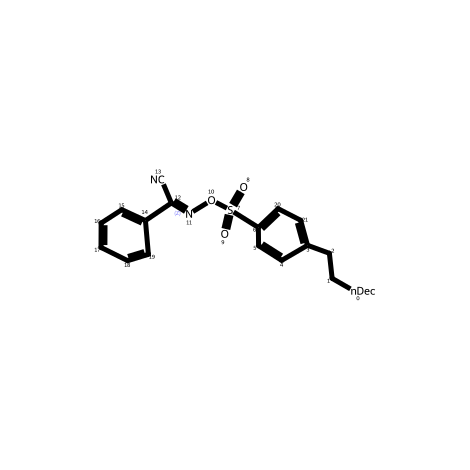 CCCCCCCCCCCCc1ccc(S(=O)(=O)O/N=C(\C#N)c2ccccc2)cc1